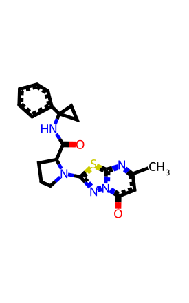 Cc1cc(=O)n2nc(N3CCCC3C(=O)NC3(c4ccccc4)CC3)sc2n1